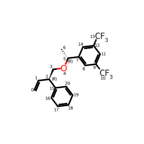 C=C[C@@H](CO[C@H](C)c1cc(C(F)(F)F)cc(C(F)(F)F)c1)c1ccccc1